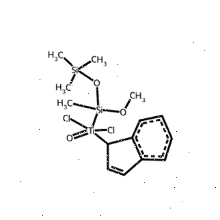 CO[Si](C)(O[Si](C)(C)C)[Ti](=[O])([Cl])([Cl])[CH]1C=Cc2ccccc21